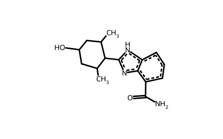 CC1CC(O)CC(C)C1c1nc2c(C(N)=O)cccc2[nH]1